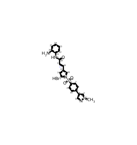 Br.Cn1cc(-c2ccc(S(=O)(=O)n3ccc(/C=C/C(=O)Nc4ccccc4N)c3)cc2)cn1